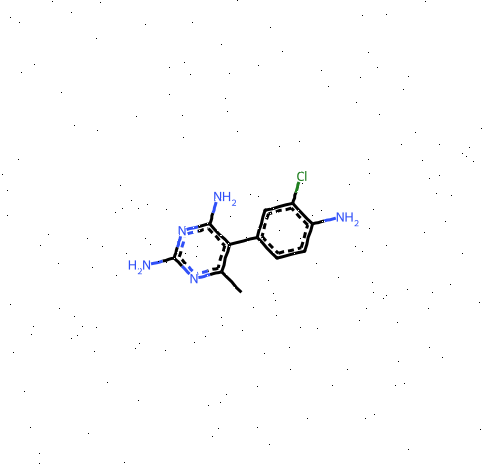 Cc1nc(N)nc(N)c1-c1ccc(N)c(Cl)c1